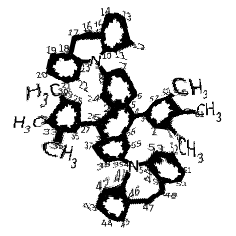 Cc1cc(-c2c3ccc(N4c5ccccc5CCc5ccccc54)cc3c(-c3cc(C)c(C)c(C)c3)c3ccc(N4c5ccccc5CCc5ccccc54)cc23)cc(C)c1C